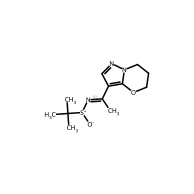 C/C(=N\[S+]([O-])C(C)(C)C)c1cnn2c1OCCC2